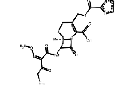 CCC(=O)/C(=N/OC)C(=O)N[C@@H]1C(=O)N2C(C(=O)O)=C(CSC(=O)c3ccco3)CS[C@H]12